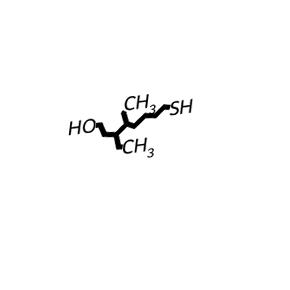 CCC(CCO)C(CC)CCCCS